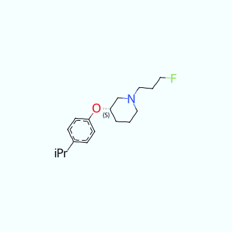 CC(C)c1ccc(O[C@H]2CCCN(CCCF)C2)cc1